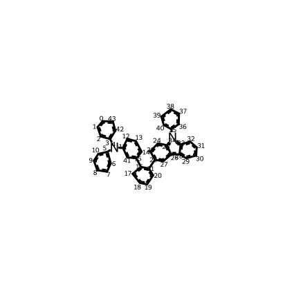 c1ccc(N(c2ccccc2)c2cccc(-c3ccccc3-c3ccc4c(c3)c3ccccc3n4-c3ccccc3)c2)cc1